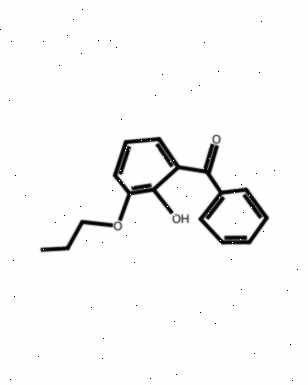 CCCOc1cccc(C(=O)c2ccccc2)c1O